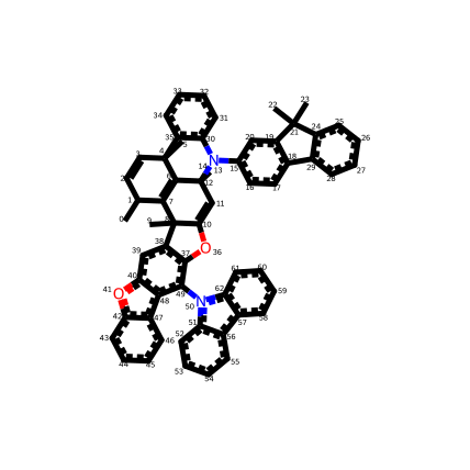 CC1C=CC2(C)C3=C1C1(C)C(=CC3(C)N(c3ccc4c(c3)C(C)(C)c3ccccc3-4)c3ccccc32)Oc2c1cc1oc3ccccc3c1c2-n1c2ccccc2c2ccccc21